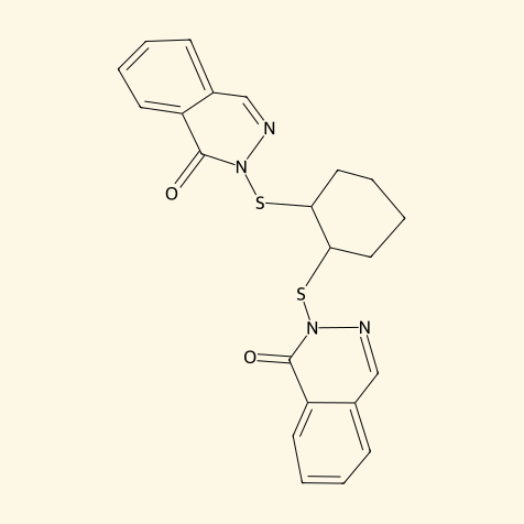 O=c1c2ccccc2cnn1SC1CCCCC1Sn1ncc2ccccc2c1=O